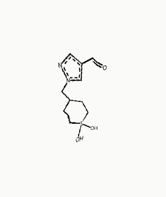 O=Cc1cnn(CC2CCS(O)(O)CC2)c1